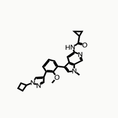 COc1c(-c2cnn(C3CCC3)c2)cccc1-c1cn(C)c2cnc(NC(=O)C3CC3)cc12